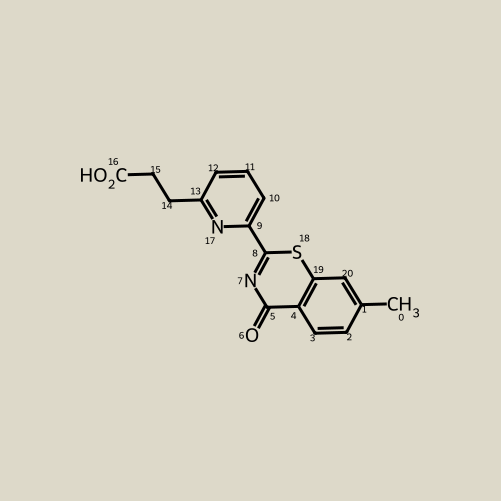 Cc1ccc2c(=O)nc(-c3cccc(CCC(=O)O)n3)sc2c1